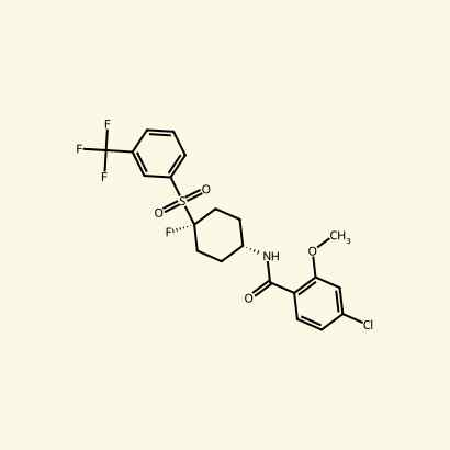 COc1cc(Cl)ccc1C(=O)N[C@H]1CC[C@](F)(S(=O)(=O)c2cccc(C(F)(F)F)c2)CC1